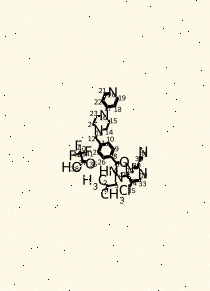 CC(C)CN(NC(=O)c1ccc(CN2CCN(c3ccncc3)CC2)cc1)c1nc(C#N)ncc1Cl.O=C(O)C(F)(F)F